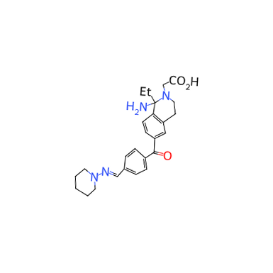 CCC1(N)c2ccc(C(=O)c3ccc(C=NN4CCCCC4)cc3)cc2CCN1CC(=O)O